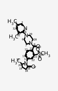 Cc1cnc(N2CCN(C(=O)c3ccc(N4C(=O)CCC4C)cc3S(C)(=O)=O)CC2)c(C)c1